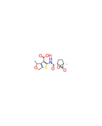 CC1OCc2sc(NC(=O)[C@@]34CC[C@@](C)(C(=O)O3)C4(C)C)c(C(=O)O)c21